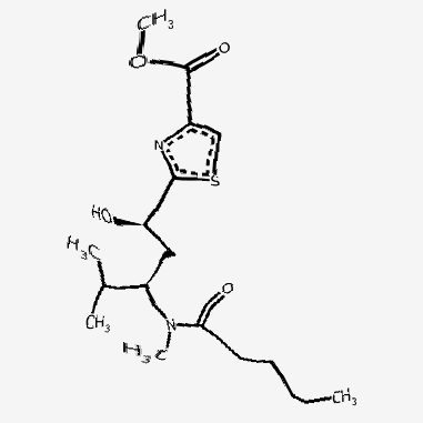 CCCCC(=O)N(C)[C@H](C[C@@H](O)c1nc(C(=O)OC)cs1)C(C)C